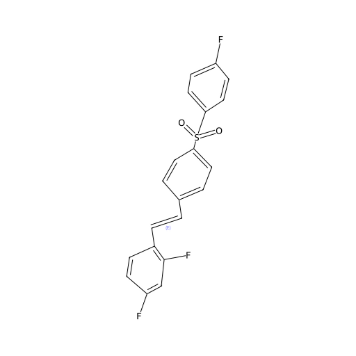 O=S(=O)(c1ccc(F)cc1)c1ccc(/C=C/c2ccc(F)cc2F)cc1